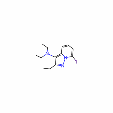 CCc1nn2c(I)cccc2c1N(CC)CC